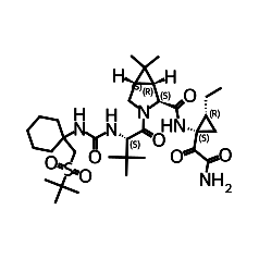 CC[C@@H]1C[C@@]1(NC(=O)[C@@H]1[C@@H]2[C@H](CN1C(=O)[C@@H](NC(=O)NC1(CS(=O)(=O)C(C)(C)C)CCCCC1)C(C)(C)C)C2(C)C)C(=O)C(N)=O